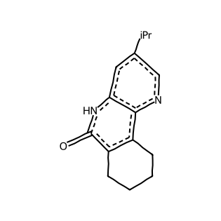 CC(C)c1cnc2c3c(c(=O)[nH]c2c1)CCCC3